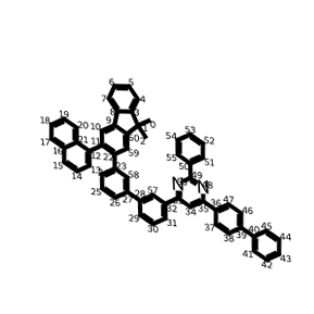 CC1(C)c2ccccc2-c2cc(-c3cccc4ccccc34)c(-c3cccc(-c4cccc(-c5cc(-c6ccc(-c7ccccc7)cc6)nc(-c6ccccc6)n5)c4)c3)cc21